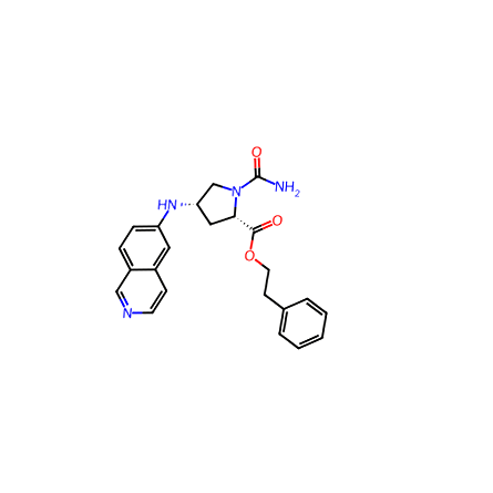 NC(=O)N1C[C@@H](Nc2ccc3cnccc3c2)C[C@H]1C(=O)OCCc1ccccc1